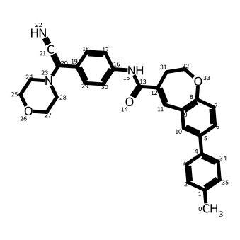 Cc1ccc(-c2ccc3c(c2)C=C(C(=O)Nc2ccc(C(=C=N)N4CCOCC4)cc2)CCO3)cc1